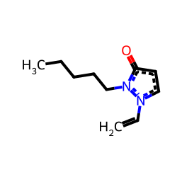 C=Cn1ccc(=O)n1CCCCC